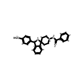 COc1ccc(C2OC3(CCN(OC(=O)c4ccccc4)CC3)c3ccccc32)cc1